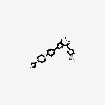 Cc1cc(-c2ccc(N3CCN(C4COC4)CC3)cc2)sc1C(=O)N1CC[C@H](N)C1